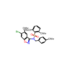 COc1ccc(CN(c2noc3cc(Br)c(OC)cc23)S(=O)(=O)c2c(OC)cccc2OC)cc1